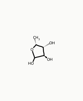 C[C@H]1OC(O)[C@H](O)[C@H]1O